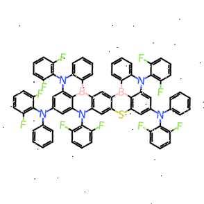 Fc1cccc(F)c1N(c1ccccc1)c1cc2c3c(c1)N(c1c(F)cccc1F)c1ccccc1B3c1cc3c(cc1S2)N(c1c(F)cccc1F)c1cc(N(c2ccccc2)c2c(F)cccc2F)cc2c1B3c1ccccc1N2c1c(F)cccc1F